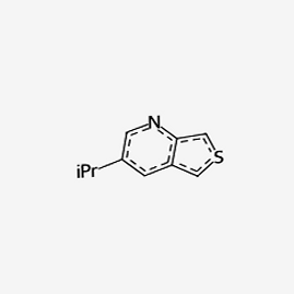 CC(C)c1cnc2cscc2c1